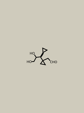 O=CCC1(C(=C2CC2)C(O)CO)CC1